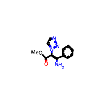 COC(=O)C(=C(N)c1ccccc1)n1ccnn1